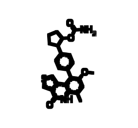 COc1cc(C)c2[nH]c(=O)c3cscc3c2c1-c1ccc(C2CCCC2OC(N)=O)cc1